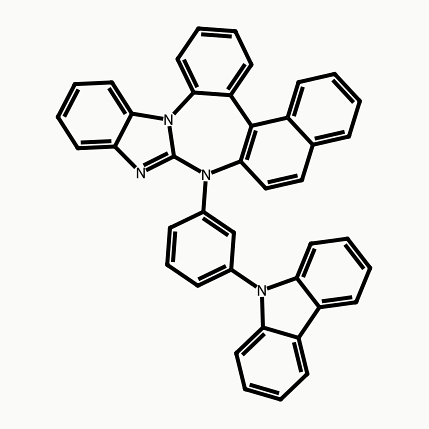 c1cc(N2c3ccc4ccccc4c3-c3ccccc3-n3c2nc2ccccc23)cc(-n2c3ccccc3c3ccccc32)c1